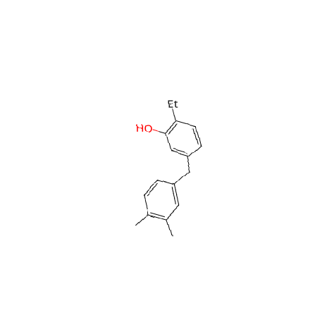 CCc1ccc(Cc2ccc(C)c(C)c2)cc1O